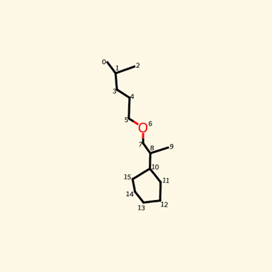 CC(C)CCCOCC(C)C1CCCCC1